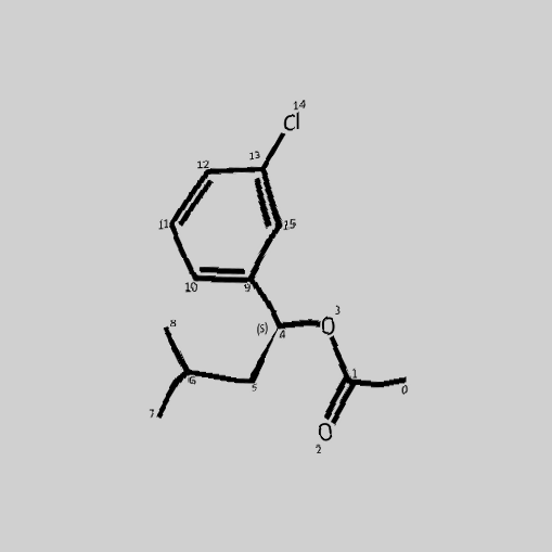 CC(=O)O[C@@H](CC(C)C)c1cccc(Cl)c1